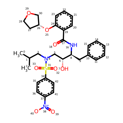 CC(C)CN(C[C@@H](O)[C@H](Cc1ccccc1)NC(=O)c1ccccc1O[C@@H]1CCOC1)S(=O)(=O)c1ccc([N+](=O)[O-])cc1